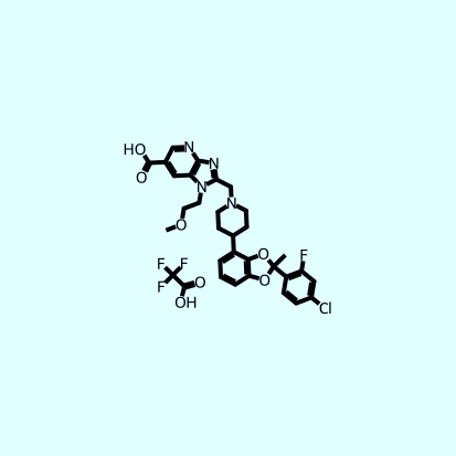 COCCn1c(CN2CCC(c3cccc4c3OC(C)(c3ccc(Cl)cc3F)O4)CC2)nc2ncc(C(=O)O)cc21.O=C(O)C(F)(F)F